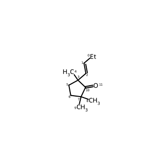 CCC=CC1(C)CCC(C)(C)C1=O